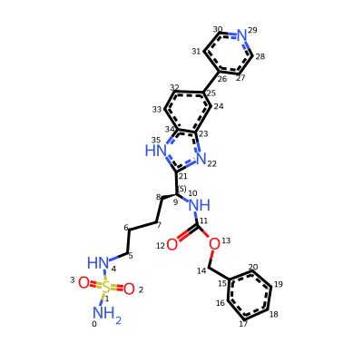 NS(=O)(=O)NCCCC[C@H](NC(=O)OCc1ccccc1)c1nc2cc(-c3ccncc3)ccc2[nH]1